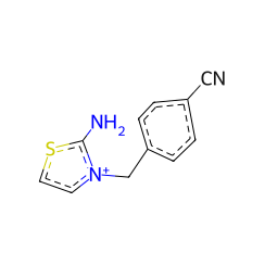 N#Cc1ccc(C[n+]2ccsc2N)cc1